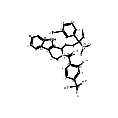 CCC(CCC1c2[nH]c3ccccc3c2CCN1C(=O)c1ccc(C(F)(F)F)cc1F)(c1cccc(F)c1)N(C)C